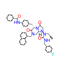 C#CCN(C(=O)NCc1ccc(F)cc1)N1CC(=O)N2[C@@H](Cc3ccc(NC(=O)c4ccccc4)cc3)C(=O)N(Cc3cccc4ccccc34)C[C@@H]21